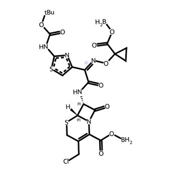 BOC(=O)C1=C(CCl)CS[C@@H]2[C@H](NC(=O)/C(=N\OC3(C(=O)OB)CC3)c3csc(NC(=O)OC(C)(C)C)n3)C(=O)N12